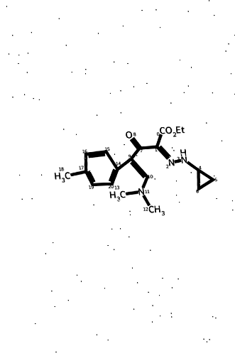 CCOC(=O)C(=NNC1CC1)C(=O)C(=CN(C)C)c1ccc(C)cc1